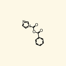 O=C(OC(=O)n1ccnc1)c1ccccc1